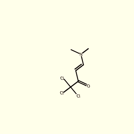 CN(C)/C=C/C(=O)C(Cl)(Cl)Cl